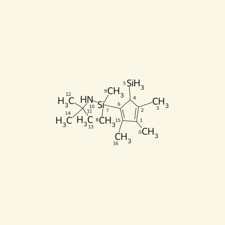 CC1=C(C)C([SiH3])C([Si](C)(C)NC(C)(C)C)=C1C